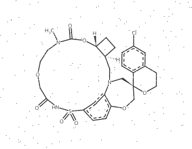 CN1CCOCC(=O)NS(=O)(=O)c2ccc3c(c2)N(C[C@@H]2CC[C@H]2OC1=O)C[C@]1(CO3)OCCc2cc(Cl)ccc21